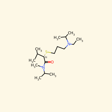 CCN(CCCS[C@H](C(=O)N(C)C(C)C)C(C)C)C(C)C